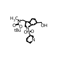 CN(Cc1cn(S(=O)(=O)c2cccnc2)c2cc(CO)ccc12)C(=O)OC(C)(C)C